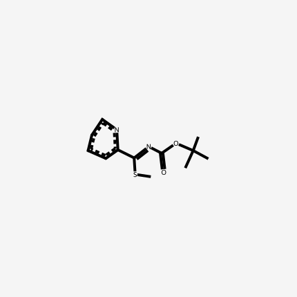 CS/C(=N\C(=O)OC(C)(C)C)c1ccccn1